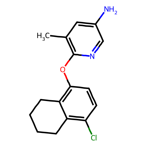 Cc1cc(N)cnc1Oc1ccc(Cl)c2c1CCCC2